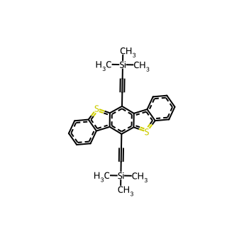 C[Si](C)(C)C#Cc1c2sc3ccccc3c2c(C#C[Si](C)(C)C)c2sc3ccccc3c12